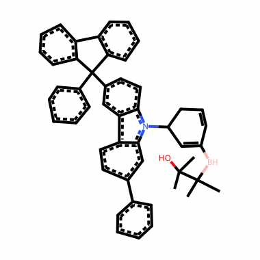 CC(C)(O)C(C)(C)BC1=CC(n2c3ccc(C4(c5ccccc5)c5ccccc5-c5ccccc54)cc3c3ccc(-c4ccccc4)cc32)CC=C1